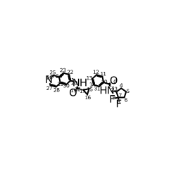 O=C(NC1CCCC1(F)F)c1cccc([C@@H]2C[C@H]2C(=O)Nc2ccc3cnccc3c2)c1